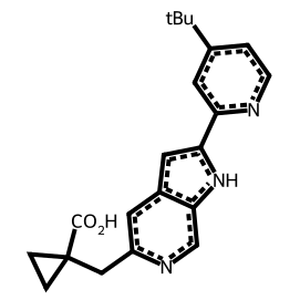 CC(C)(C)c1ccnc(-c2cc3cc(CC4(C(=O)O)CC4)ncc3[nH]2)c1